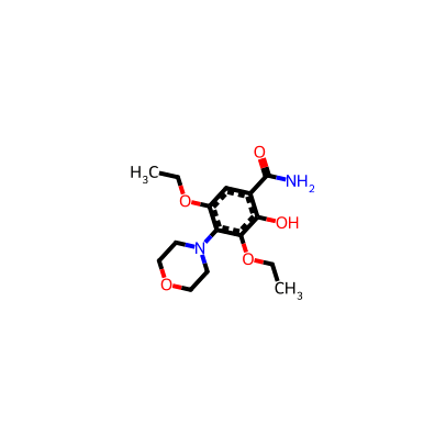 CCOc1cc(C(N)=O)c(O)c(OCC)c1N1CCOCC1